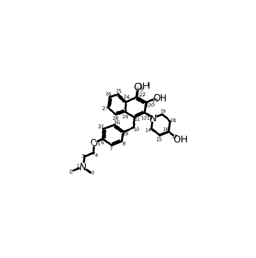 CN(C)CCOc1ccc(Cc2c(N3CCC(O)CC3)c(O)c(O)c3ccccc23)cc1